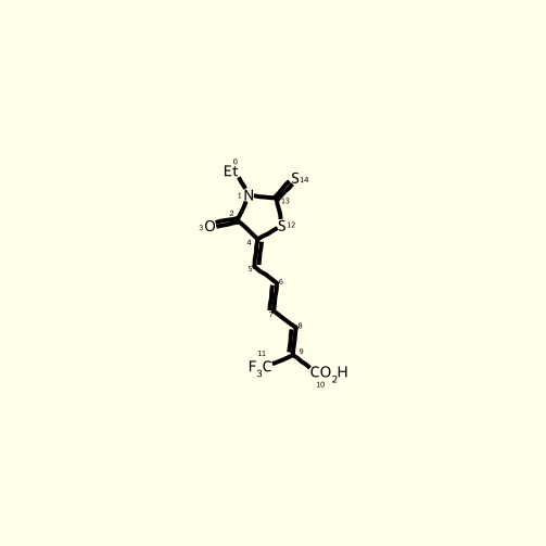 CCN1C(=O)C(=CC=CC=C(C(=O)O)C(F)(F)F)SC1=S